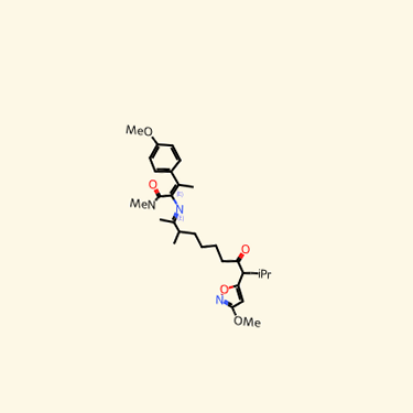 CNC(=O)C(/N=C(\C)C(C)CCCCC(=O)C(c1cc(OC)no1)C(C)C)=C(/C)c1ccc(OC)cc1